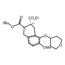 CCOC(=O)[C@@H]1Cc2c(ccc(OC)c2OC2CCOCC2)CN1C(=O)OC(C)(C)C